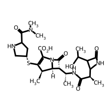 CC(O)C1C(=O)NC1[C@@H](C)C(=O)N[C@H](C)[C@H]1C(=O)N2C(C(=O)O)=C(S[C@@H]3CNC(C(=O)N(C)C)C3)[C@H](C)[C@H]12